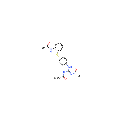 CCC(=O)N=C(NC(=O)OC)Nc1ccc(Sc2ccccc2NC(=O)CC)cc1